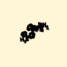 CC(c1ccccc1)c1cccc(/C(=N/NC(N)=S)c2ccccc2)c1